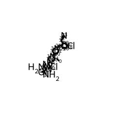 CC[C@H]1CN(c2nc(N)c(C(N)=O)nc2Cl)CCN1C1CCN(Cc2ccc(Cl)cc2CC#N)CC1